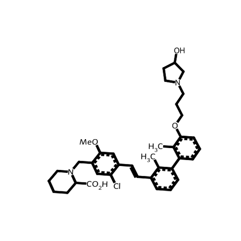 COc1cc(C=Cc2cccc(-c3cccc(OCCCN4CCC(O)C4)c3C)c2C)c(Cl)cc1CN1CCCCC1C(=O)O